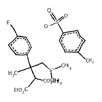 CCOC(=O)C(C(=O)OCC)C(C)(C[S+](C)C)c1ccc(F)cc1.Cc1ccc(S(=O)(=O)[O-])cc1